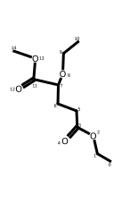 CCOC(=O)CCC(OCC)C(=O)OC